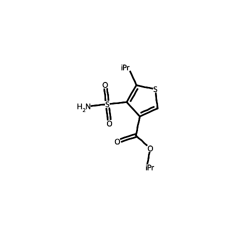 CC(C)OC(=O)c1csc(C(C)C)c1S(N)(=O)=O